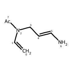 C=CN(CC=CN)C(C)=O